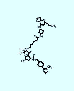 CCCc1cc(N[C@@H]2CC[C@@H](NC(=O)CCOCCN[C@H](C(=O)C3C[C@H](O)C[C@H]3C(=O)NCc3ccc(-c4scnc4C)cc3)C(C)(C)C)C2)n2nccc2n1